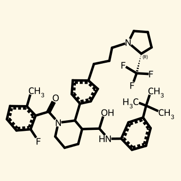 Cc1cccc(F)c1C(=O)N1CCCC(C(O)Nc2cccc(C(C)(C)C)c2)C1c1ccc(CCCN2CCC[C@@H]2C(F)(F)F)cc1